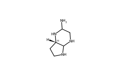 NC1CNC2NCC[C@@H]2N1